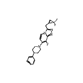 Fc1c(N2CCC(c3ccccc3)CC2)ccn2c(CC3CC3(F)F)nnc12